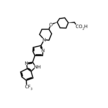 O=C(O)C[C@H]1CC[C@@H](OC2CCN(c3ccc(-c4nc5ccc(C(F)(F)F)cc5[nH]4)cn3)CC2)CC1